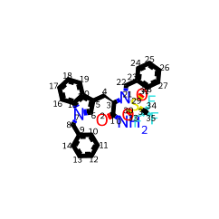 NC(=O)[C@@H](Cc1cn(Cc2ccccc2)c2ccccc12)N(Cc1ccccc1)S(=O)(=O)C(F)(F)F